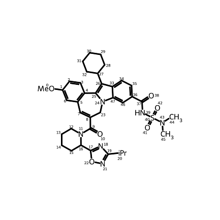 COc1ccc2c(c1)C=C(C(=O)N1CCCCC1c1nc(C(C)C)no1)Cn1c-2c(C2CCCCC2)c2ccc(C(=O)NS(=O)(=O)N(C)C)cc21